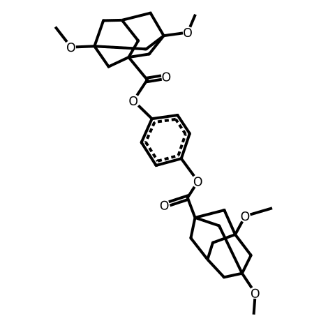 COC12CC3CC(OC)(C1)CC(C(=O)Oc1ccc(OC(=O)C45CC6CC(OC)(CC(OC)(C6)C4)C5)cc1)(C3)C2